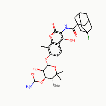 CO[C@@H]1[C@@H](OC(N)O)[C@@H](O)[C@H](Oc2ccc3c(O)c(NC(=O)C45CC6CC(CC(F)(C6)C4)C5)c(=O)oc3c2C)OC1(C)C